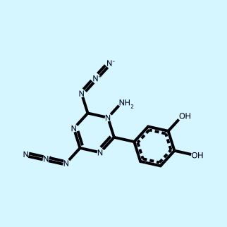 [N-]=[N+]=NC1=NC(N=[N+]=[N-])N(N)C(c2ccc(O)c(O)c2)=N1